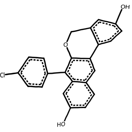 Oc1ccc2c(c1)COc1c-2cc2ccc(O)cc2c1-c1ccc(Cl)cc1